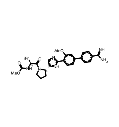 COC(=O)N[C@H](C(=O)N1CCC[C@H]1c1cnc(-c2ccc(-c3ccc(C(=N)N)cc3)cc2OC)[nH]1)C(C)C